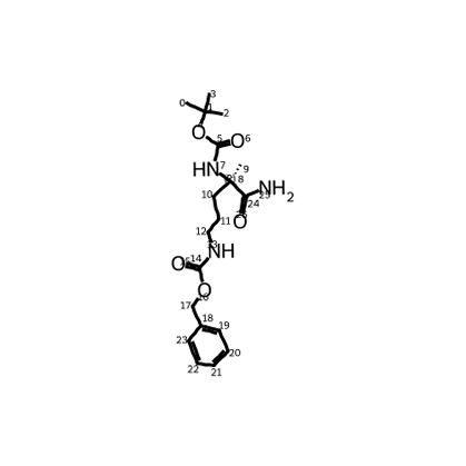 CC(C)(C)OC(=O)N[C@](C)(CCCNC(=O)OCc1ccccc1)C(N)=O